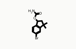 CC1(C)CC(OC(N)=O)c2ccc(Br)cc21